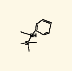 C[SiH](c1ccccc1)[Si](C)(C)C